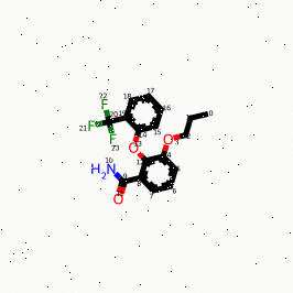 CCCOc1cccc(C(N)=O)c1Oc1ccccc1C(F)(F)F